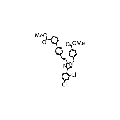 COC(=O)c1ccc(Cn2cc(-c3ccc(Cl)cc3Cl)nc2C=Cc2ccc(-c3cccc(C(=O)OC)c3)cc2)cc1